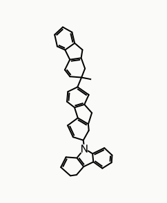 CC1(c2ccc3c(c2)CC2=C3C=CC(n3c4c(c5ccccc53)CCC=C4)C2)C=CC2=C(Cc3ccccc32)C1